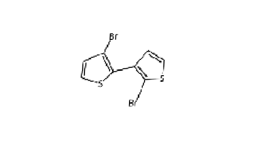 Brc1ccsc1-c1ccsc1Br